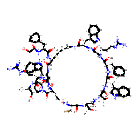 C[C@@H](O)[C@@H]1NC(=O)[C@H](CS)NOCC[C@@H](C(=O)N2CCC[C@H]2C(C)(O)N[C@@H](CCCNC(=N)N)C(=O)N[C@@H](CO)C(=O)O)NC(=O)[C@H](Cc2c[nH]c3ccccc23)NC(=O)[C@@H](NC(=O)[C@H](Cc2ccccc2)NC(=O)CO)CCCCNC(=O)[C@H](Cc2c[nH]c3ccccc23)NC(=O)[C@H](CCCNC(=N)N)NC(=O)[C@H](Cc2ccccc2)NC(=O)[C@H](Cc2c[nH]c3ccccc23)NC(=O)[C@H]([C@@H](C)O)NC1=O